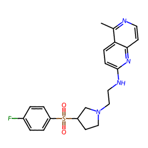 Cc1nccc2nc(NCCN3CCC(S(=O)(=O)c4ccc(F)cc4)C3)ccc12